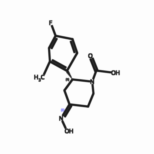 Cc1cc(F)ccc1[C@H]1C/C(=N/O)CCN1C(=O)O